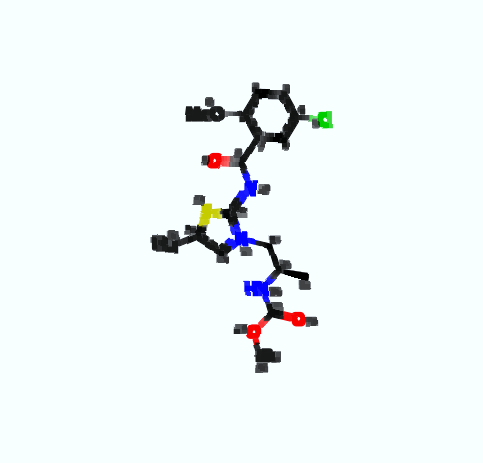 COc1ccc(Cl)cc1C(=O)/N=c1\sc(C(C)(C)C)cn1C[C@@H](C)NC(=O)OC(C)(C)C